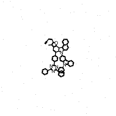 C#C/C=C\c1oc2c(c1C)C=C(c1ccc(-c3nc(-c4ccccc4)nc(-c4ccccc4)n3)cc1)C1C2c2c(ccc3ccccc23)N1c1ccc2c(c1)c1ccccc1n2-c1ccccc1